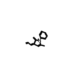 C=C/C=c1/cc(C)n(-c2ccccc2)c1=C